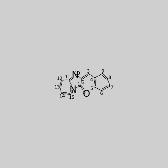 O=C1C(=Cc2ccccc2)N=C2C=CC=CN12